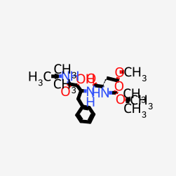 COCC[C@H](NC(=O)OC(C)(C)C)C(=O)NC(Cc1ccccc1)C(O)C(=O)NC(C)(C)C